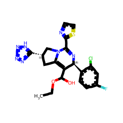 CCOC(O)C1=C2C[C@H](c3nnn[nH]3)CN2C(c2nccs2)=N[C@H]1c1ccc(F)cc1Cl